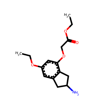 CCOC(=O)COc1cc(OCC)cc2c1CC(N)C2